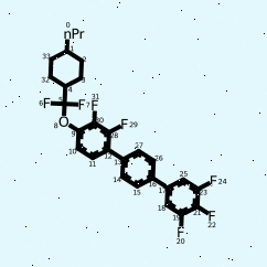 CCCC1CCC(C(F)(F)Oc2ccc(-c3ccc(-c4cc(F)c(F)c(F)c4)cc3)c(F)c2F)CC1